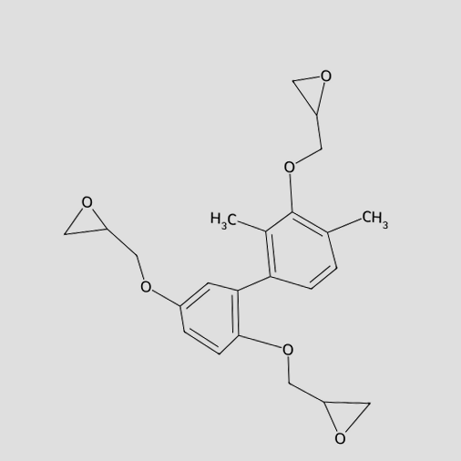 Cc1ccc(-c2cc(OCC3CO3)ccc2OCC2CO2)c(C)c1OCC1CO1